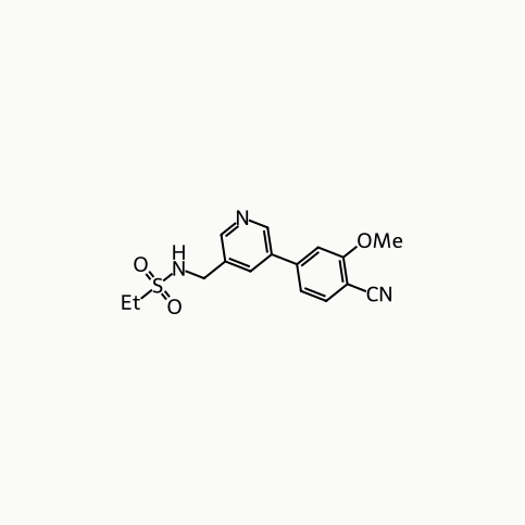 CCS(=O)(=O)NCc1cncc(-c2ccc(C#N)c(OC)c2)c1